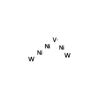 [Ni].[Ni].[Ni].[V].[W].[W]